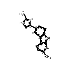 Cc1ccc2c(n1)[nH]c1ccc(-c3csc(N)n3)cc12